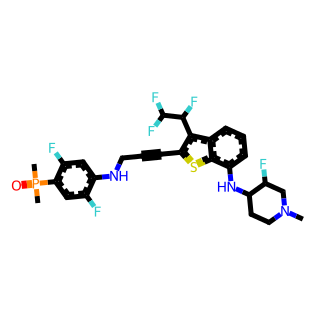 CN1CCC(Nc2cccc3c(C(F)C(F)F)c(C#CCNc4cc(F)c(P(C)(C)=O)cc4F)sc23)C(F)C1